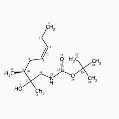 CC/C=C\C[C@H](C)C(C)(O)CNC(=O)OC(C)(C)C